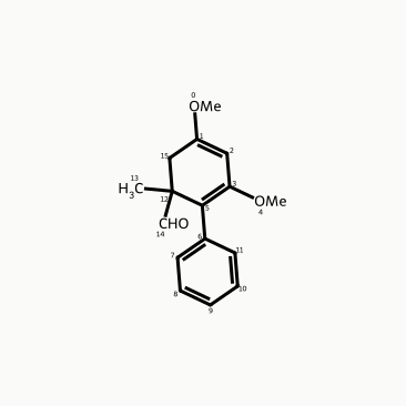 COC1=CC(OC)=C(c2ccccc2)C(C)(C=O)C1